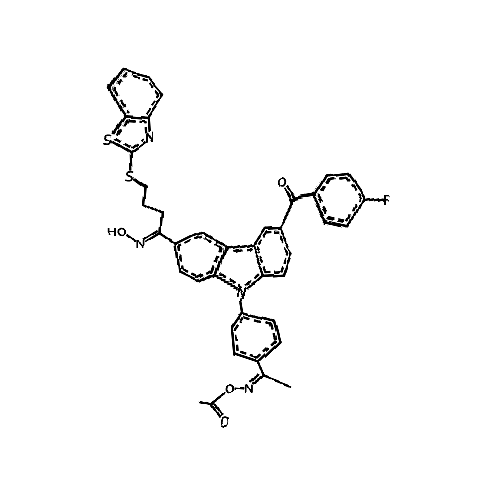 CC(=O)O/N=C(/C)c1ccc(-n2c3ccc(C(=O)c4ccc(F)cc4)cc3c3cc(/C(CCCSc4nc5ccccc5s4)=N/O)ccc32)cc1